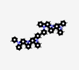 c1ccc(-n2c3ccccc3c3c4c5cccc6c7c8c9ccccc9n9c%10cc(-c%11cccc(-n%12c%13ccccc%13c%13ccc%14c(c%15cccc%16c%17c%18c%19ccccc%19n%19c%20ccccc%20c(cc%17n%14c%16%15)c%18%19)c%13%12)c%11)ccc%10c(cc7n(c4ccc32)c56)c89)cc1